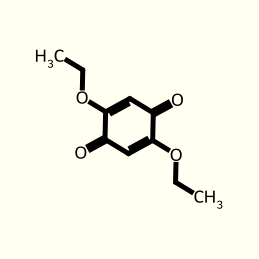 CCOC1=CC(=O)C(OCC)=CC1=O